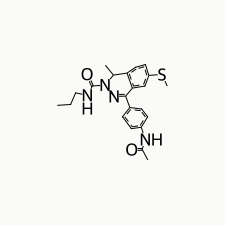 CCCNC(=O)N1N=C(c2ccc(NC(C)=O)cc2)c2cc(SC)ccc2C1C